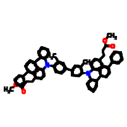 COC(=O)CCc1ccc(N(c2ccc(-c3ccc(N(c4ccc(CCC(=O)OC)cc4)c4ccccc4-c4ccc(-c5ccccc5)cc4)c(C)c3)cc2C)c2ccccc2-c2ccc(-c3ccccc3)cc2)cc1